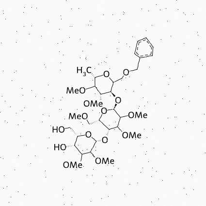 COC[C@@H]1O[C@@H](O[C@@H]2C(COCc3ccccc3)O[C@@H](C)C(OC)[C@H]2OC)C(OC)C(OC)[C@@H]1O[C@H]1O[C@@H](CO)[C@@H](O)C(OC)C1OC